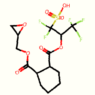 O=C(OCC1CO1)C1CCCCC1C(=O)OC(C(F)(F)F)C(F)(F)S(=O)(=O)O